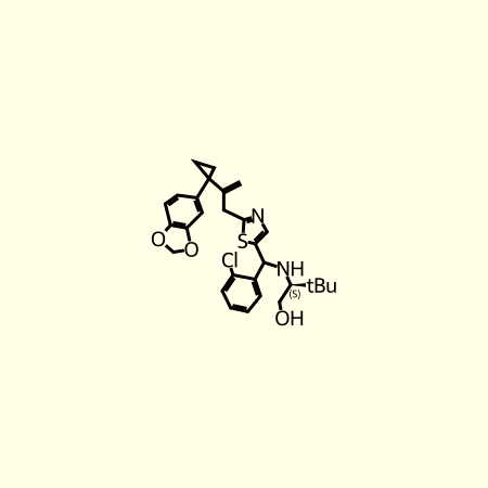 C=C(Cc1ncc(C(N[C@H](CO)C(C)(C)C)c2ccccc2Cl)s1)C1(c2ccc3c(c2)OCO3)CC1